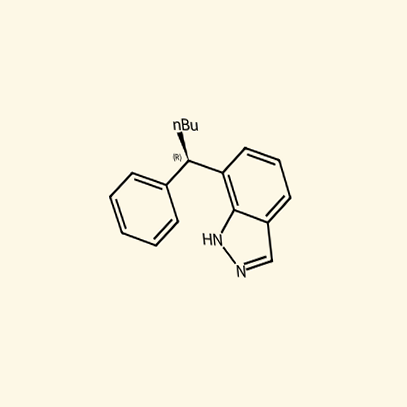 CCCC[C@H](c1ccccc1)c1cccc2cn[nH]c12